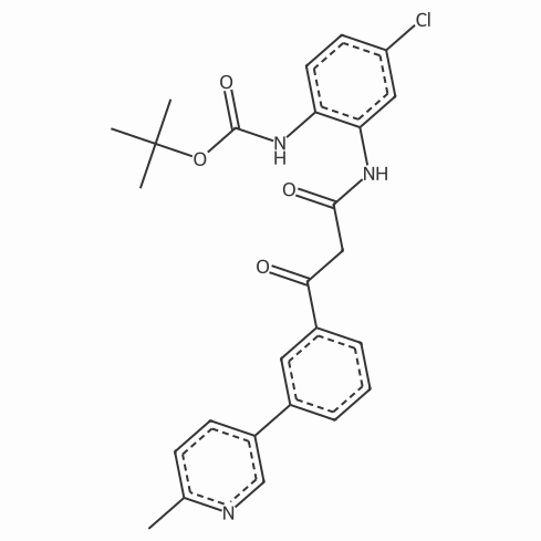 Cc1ccc(-c2cccc(C(=O)CC(=O)Nc3cc(Cl)ccc3NC(=O)OC(C)(C)C)c2)cn1